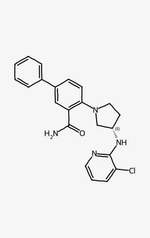 NC(=O)c1cc(-c2ccccc2)ccc1N1CC[C@H](Nc2ncccc2Cl)C1